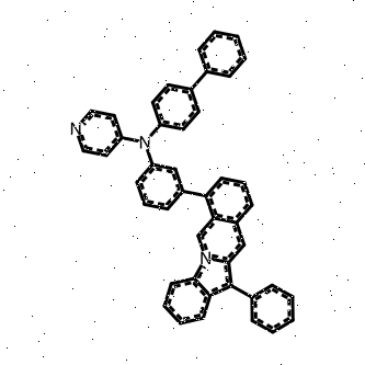 c1ccc(-c2ccc(N(c3ccncc3)c3cccc(-c4cccc5cc6c(-c7ccccc7)c7ccccc7n6cc45)c3)cc2)cc1